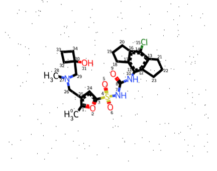 Cc1oc(S(=O)(=O)NC(=O)Nc2c3c(c(Cl)c4c2CCC4)CCC3)cc1CN(C)CC1(O)CCC1